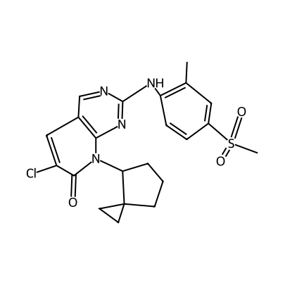 Cc1cc(S(C)(=O)=O)ccc1Nc1ncc2cc(Cl)c(=O)n(C3CCCC34CC4)c2n1